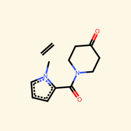 C=C.Cn1cccc1C(=O)N1CCC(=O)CC1